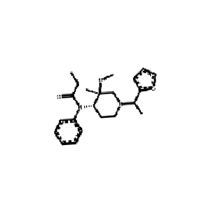 CCC(=O)N(c1ccccc1)[C@H]1CCN(C(C)c2cccs2)C[C@@]1(C)OC